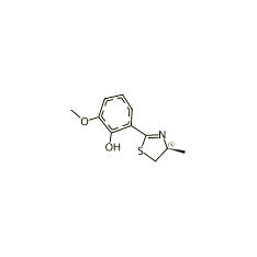 COc1cccc(C2=N[C@@H](C)CS2)c1O